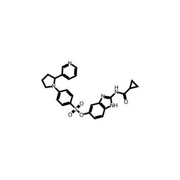 O=C(Nc1nc2cc(OS(=O)(=O)c3ccc(N4CCCC4c4cccnc4)cc3)ccc2[nH]1)C1CC1